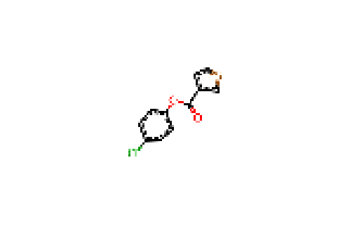 O=C(Oc1ccc(Cl)cc1)c1ccsc1